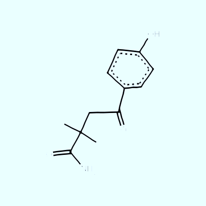 CC(C)(CC(=O)c1ccc(O)cc1)C(N)=O